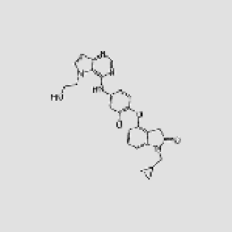 O=C1Cc2c(Oc3ccc(Nc4ncnc5ccn(CCO)c45)cc3Cl)cccc2N1CC1CC1